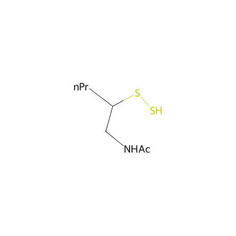 CCCC(CNC(C)=O)SS